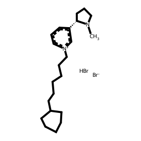 Br.CN1CCC[C@H]1c1ccc[n+](CCCCCCC2CCCCC2)c1.[Br-]